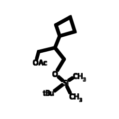 CC(=O)OCC(CO[Si](C)(C)C(C)(C)C)C1CCC1